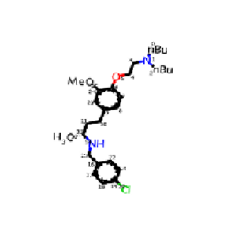 CCCCN(CCCC)CCOc1ccc(CC[C@@H](C)NCc2ccc(Cl)cc2)cc1OC